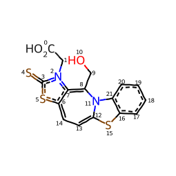 O=C(O)Cn1c(=S)sc2c1=C(CO)N1C(=CC=2)Sc2ccccc21